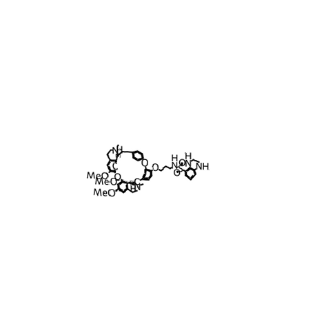 COc1cc2c3cc1Oc1c(OC)c(OC)cc4c1[C@@H](Cc1ccc(OCCCNS(=O)(=O)c5cccc6c5NCCN6)c(c1)Oc1ccc(cc1)C[C@@H]3N(C)CC2)N(C)CC4